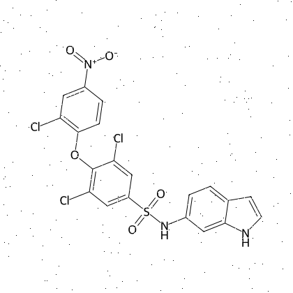 O=[N+]([O-])c1ccc(Oc2c(Cl)cc(S(=O)(=O)Nc3ccc4cc[nH]c4c3)cc2Cl)c(Cl)c1